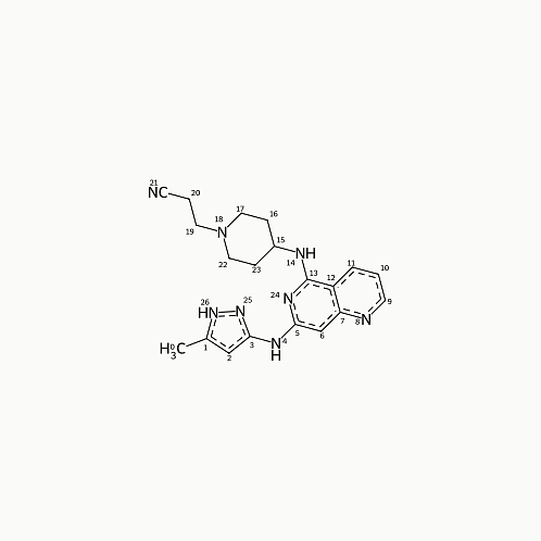 Cc1cc(Nc2cc3ncccc3c(NC3CCN(CCC#N)CC3)n2)n[nH]1